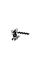 CCCCCCCCCCSc1c(C=O)c(=O)oc2cc(N(CC)CC)c([N+](=O)[O-])cc12